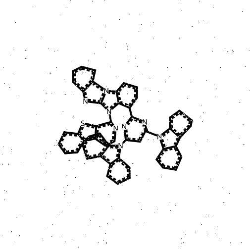 c1ccc2c(c1)nc1n(-c3nccc4c3sc3ccccc34)c3c(-c4nc(-n5c6ccccc6c6ccccc65)cc(-n5c6ccccc6c6ccccc65)n4)cccc3n21